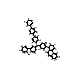 c1ccc(-c2ccc(-c3ccc(N(c4ccc(-c5cccc6c5ccc5ccccc56)cc4)c4ccc5oc6ccccc6c5c4)cc3)cc2)cc1